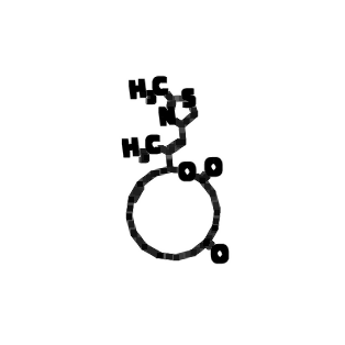 CC1=NC(/C=C(\C)C2C/C=C\CCCCCCC(=O)CCCC(=O)O2)CS1